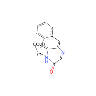 CC(=O)O.O=c1cnc2cc3ccccc3cc2[nH]1